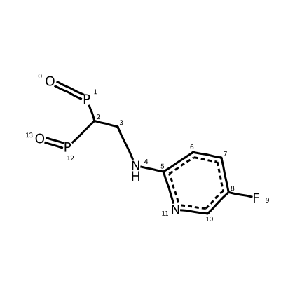 O=PC(CNc1ccc(F)cn1)P=O